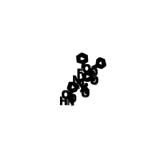 CNOC(=O)c1ccc2nc(-c3cc(OC)c(OCc4ccccc4)c(OCc4ccccc4)c3F)n(C3(C)COC3)c2c1